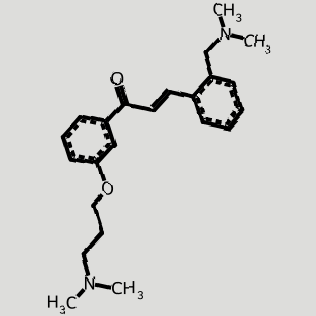 CN(C)CCCOc1cccc(C(=O)C=Cc2ccccc2CN(C)C)c1